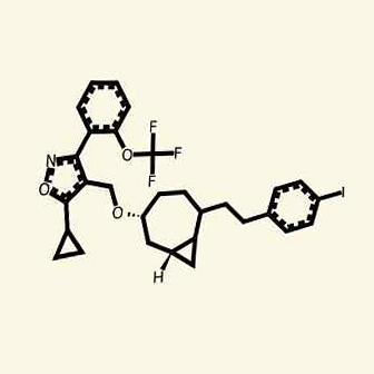 FC(F)(F)Oc1ccccc1-c1noc(C2CC2)c1CO[C@@H]1CCC(CCc2ccc(I)cc2)C2C[C@@H]2C1